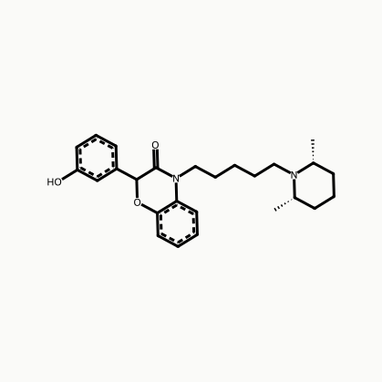 C[C@@H]1CCC[C@H](C)N1CCCCCN1C(=O)C(c2cccc(O)c2)Oc2ccccc21